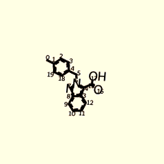 Cc1ccc(Cn2nc3ccccc3c2C(=O)O)cc1